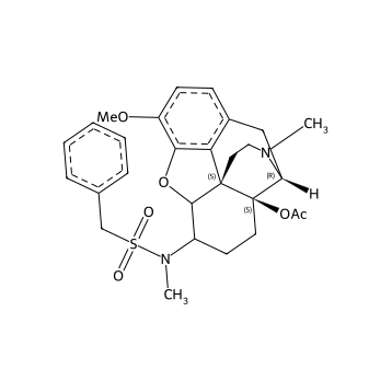 COc1ccc2c3c1OC1C(N(C)S(=O)(=O)Cc4ccccc4)CC[C@@]4(OC(C)=O)[C@@H](C2)N(C)CC[C@]314